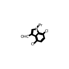 CC(C)n1cc(C=O)c2c(Cl)ccc(Cl)c21